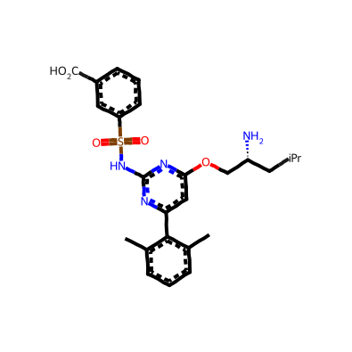 Cc1cccc(C)c1-c1cc(OC[C@H](N)CC(C)C)nc(NS(=O)(=O)c2cccc(C(=O)O)c2)n1